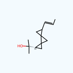 CC=CC1CC12CC21C[C@@H]1C(C)(C)O